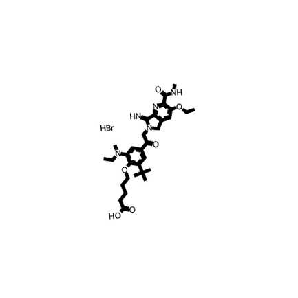 Br.CCOc1cc2c(nc1C(=O)NC)C(=N)N(CC(=O)c1cc(N(C)CC)c(OCCCCC(=O)O)c(C(C)(C)C)c1)C2